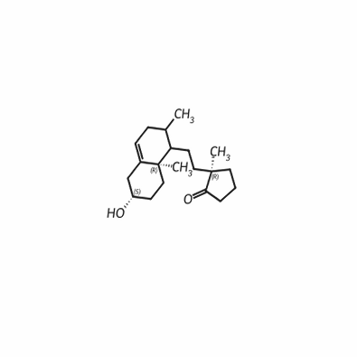 CC1CC=C2C[C@@H](O)CC[C@]2(C)C1CC[C@@]1(C)CCCC1=O